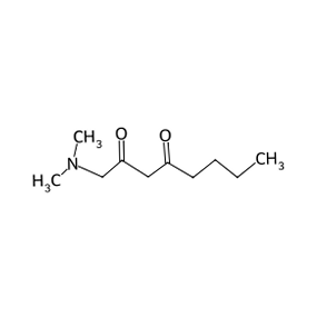 CCCCC(=O)CC(=O)CN(C)C